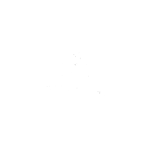 CC(CN)c1cc(C(=O)O)cc(S(N)(=O)=O)c1Oc1ccccc1